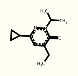 CCc1cc(C2CC2)nn(C(C)C)c1=O